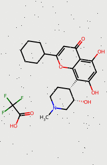 CN1CC[C@H](c2c(O)cc(O)c3c(=O)cc(C4CCCCC4)oc23)[C@H](O)C1.O=C(O)C(F)(F)F